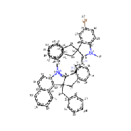 CN1/C(=C/C=C/C2=[N+](C)c3ccc4ccccc4c3C2(Cc2ccccc2)Cc2ccccc2)C(Cc2ccccc2)(Cc2ccccc2)c2cc(Br)ccc21